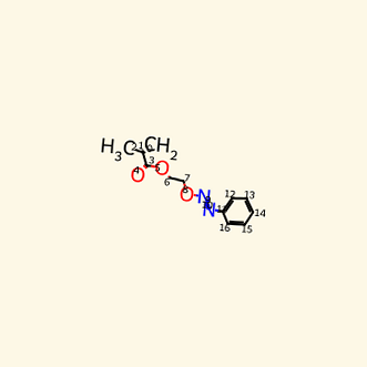 C=C(C)C(=O)OCCO/N=N/c1ccccc1